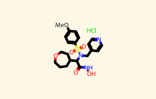 COc1ccc(S(=O)(=O)N(Cc2ccncc2)C(C(=O)NO)C2CCCOCC2)cc1.Cl